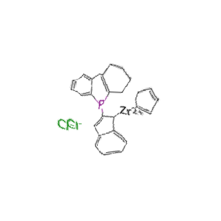 C1=CC[C]([Zr+2][CH]2C(p3c4c(c5ccccc53)CCCC4)=Cc3ccccc32)=C1.[Cl-].[Cl-]